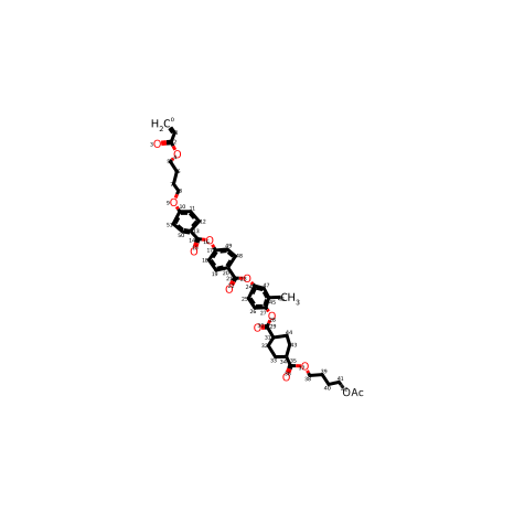 C=CC(=O)OCCCCOc1ccc(C(=O)Oc2ccc(C(=O)Oc3ccc(OC(=O)C4CCC(C(=O)OCCCCOC(C)=O)CC4)c(C)c3)cc2)cc1